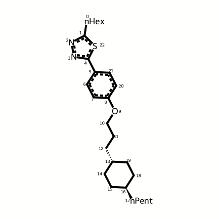 CCCCCCc1nnc(-c2ccc(OCCC[C@H]3CC[C@H](CCCCC)CC3)cc2)s1